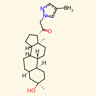 Bc1cnn(CC(=O)[C@H]2CC[C@H]3[C@@H]4CC[C@@H]5C[C@](C)(O)CC[C@@H]5[C@H]4CC[C@]23C)c1